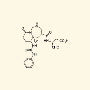 O=CC(CC(=O)O)NC(=O)C1CNCN2C(=O)CCC(NC(=O)Nc3ccccc3)[N+]2([O-])C1